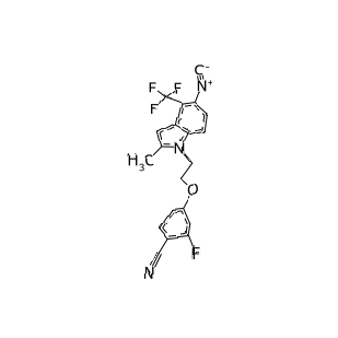 [C-]#[N+]c1ccc2c(cc(C)n2CCOc2ccc(C#N)c(F)c2)c1C(F)(F)F